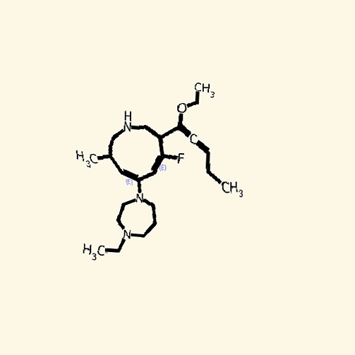 CCC=C=C(OCC)C1CNCC(C)/C=C(N2CCCN(CC)CC2)\C=C/1F